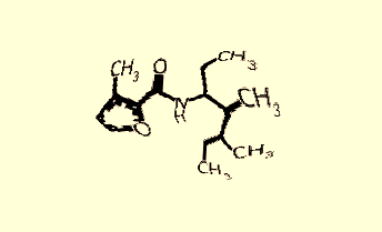 CCC(C)C(C)C(CC)NC(=O)c1occc1C